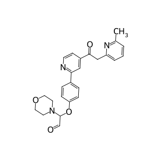 Cc1cccc(CC(=O)c2ccnc(-c3ccc(OC(C=O)N4CCOCC4)cc3)c2)n1